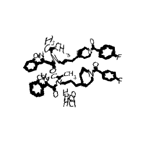 CC(C)N(CCCC1CCN(C(=O)c2ccc(F)cc2)CC1)C(=O)c1noc2ccccc12.CC(C)N(CCCC1CCN(C(=O)c2ccc(F)cc2)CC1)C(=O)c1noc2ccccc12.Cl.Cl.O